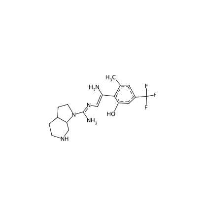 Cc1cc(C(F)(F)F)cc(O)c1/C(N)=C/N=C(\N)N1CCC2CCNCC21